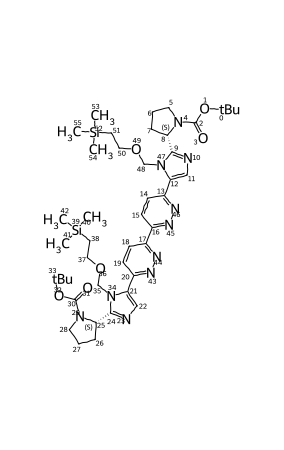 CC(C)(C)OC(=O)N1CCC[C@H]1c1ncc(-c2ccc(-c3ccc(-c4cnc([C@@H]5CCCN5C(=O)OC(C)(C)C)n4COCC[Si](C)(C)C)nn3)nn2)n1COCC[Si](C)(C)C